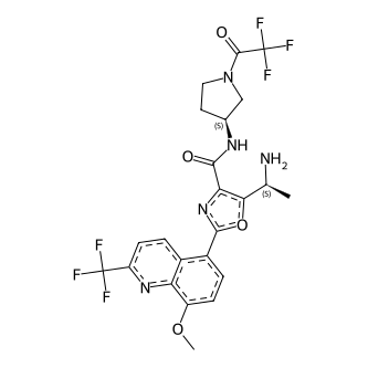 COc1ccc(-c2nc(C(=O)N[C@H]3CCN(C(=O)C(F)(F)F)C3)c([C@H](C)N)o2)c2ccc(C(F)(F)F)nc12